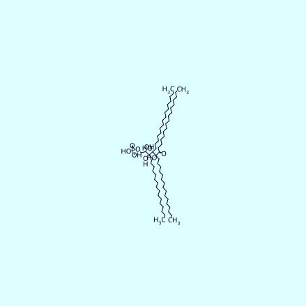 CCCCCCCCCCCCCCCCC(=O)[C@@](O)(CCCCCCCCCCCCCCCC)[C@](O)(CCCCCCCCCCCCCCCC)[C@@](O)(CCCCCCCCCCCCCCCC)[C@H](O)COP(=O)(O)O